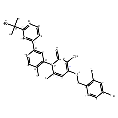 C/C(=C/C(OCc1ncc(F)cc1F)=C(\C)Cl)N(C=O)c1cc(-c2ccnc(C(C)(C)O)n2)ncc1C